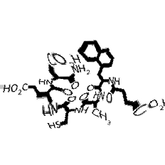 CC(NC(=O)C(Cc1cccc2ccccc12)NC(=O)CCCC(=O)O)C(=O)NC(CS)C(=O)NC(CCC(=O)O)C(=O)NC(CC(=O)O)C(N)=O